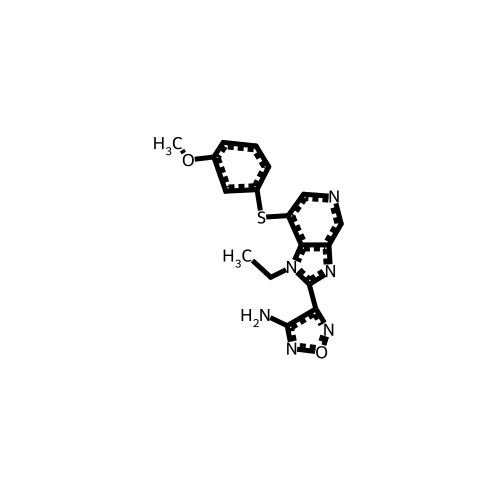 CCn1c(-c2nonc2N)nc2cncc(Sc3cccc(OC)c3)c21